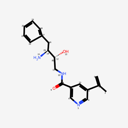 C=C(C)c1cncc(C(=O)NC[C@@H](O)[C@@H](N)Cc2ccccc2)c1